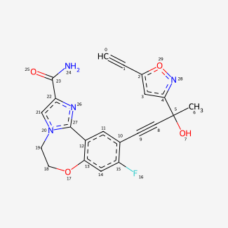 C#Cc1cc(C(C)(O)C#Cc2cc3c(cc2F)OCCn2cc(C(N)=O)nc2-3)no1